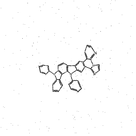 c1ccc(-n2c3ccccc3c3c2ccc2c4cc5c6cccnc6n6ccnc6c5cc4n(-c4ccccc4)c23)cc1